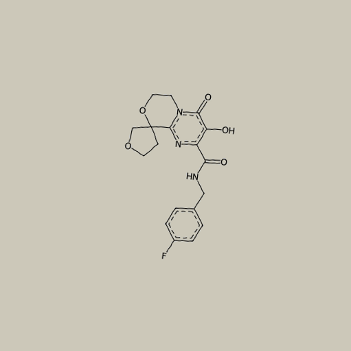 O=C(NCc1ccc(F)cc1)c1nc2n(c(=O)c1O)CCOC21CCOC1